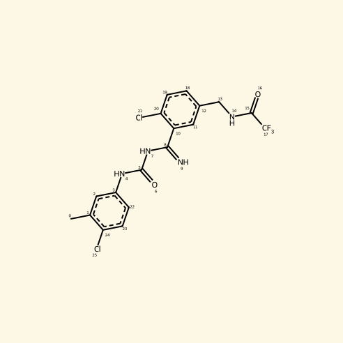 Cc1cc(NC(=O)NC(=N)c2cc(CNC(=O)C(F)(F)F)ccc2Cl)ccc1Cl